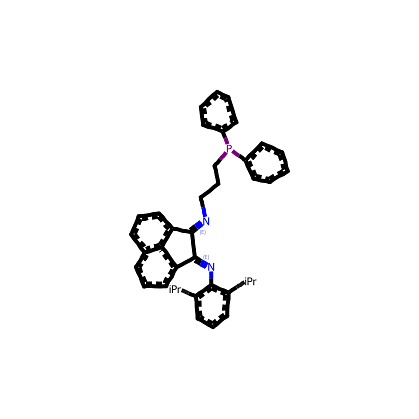 CC(C)c1cccc(C(C)C)c1/N=C1/C(=N/CCCP(c2ccccc2)c2ccccc2)c2cccc3cccc1c23